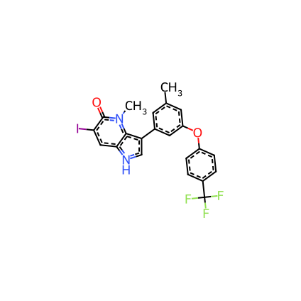 Cc1cc(Oc2ccc(C(F)(F)F)cc2)cc(-c2c[nH]c3cc(I)c(=O)n(C)c23)c1